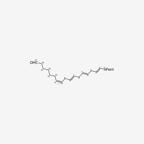 CCCCCC=CCC=CCC=CC/C=C\CCCCCC=O